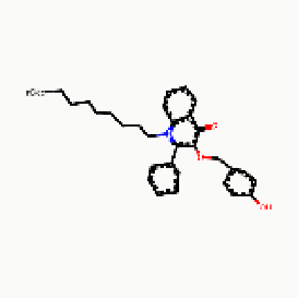 CCCCCCCCCCCCCCCCCCn1c(-c2ccccc2)c(OCc2ccc(O)cc2)c(=O)c2ccccc21